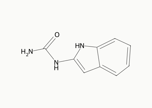 NC(=O)Nc1cc2ccccc2[nH]1